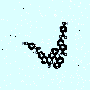 O=C(Oc1ccc2cc(C(=O)Oc3ccc4ccccc4c3-c3c(OC(=O)c4ccc5cc(OC(=O)c6ccc(O)cc6)ccc5c4)ccc4ccccc34)ccc2c1)c1ccc(O)cc1